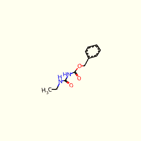 CCNC(=O)NC(=O)OCc1ccccc1